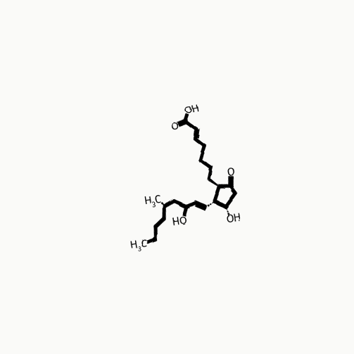 CCCC[C@H](C)CC(O)/C=C/[C@H]1[C@@H](O)CC(=O)[C@@H]1CCCC/C=C/C(=O)O